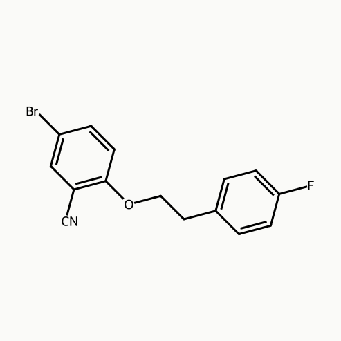 N#Cc1cc(Br)ccc1OCCc1ccc(F)cc1